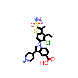 CCc1c(Cl)c(-n2cc(C3CCN(C)CC3)c3cc(C(=O)O)ccc32)cc2sc(S(N)(=O)=O)c(C)c12